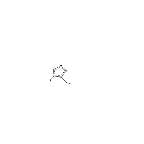 CCn1nncc1[S]